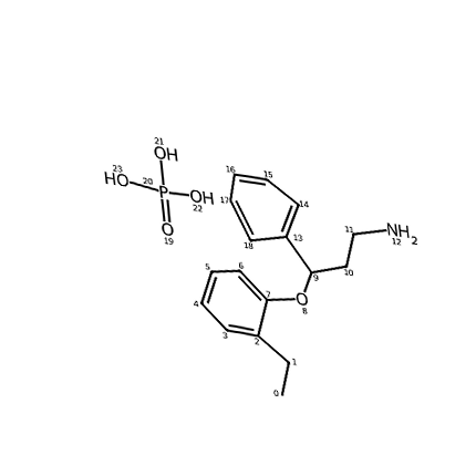 CCc1ccccc1OC(CCN)c1ccccc1.O=P(O)(O)O